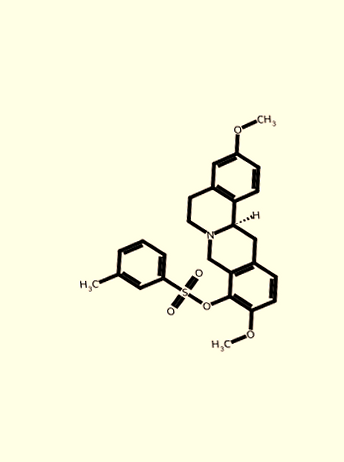 COc1ccc2c(c1)CCN1Cc3c(ccc(OC)c3OS(=O)(=O)c3cccc(C)c3)C[C@H]21